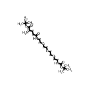 CC(C)(C)OC(=O)NCCOCCOCCOCCNC(=O)CC[C@H](N)C(=O)OC(C)(C)C